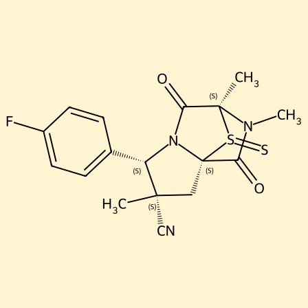 CN1C(=O)[C@@]23C[C@](C)(C#N)[C@H](c4ccc(F)cc4)N2C(=O)[C@]1(C)S3=S